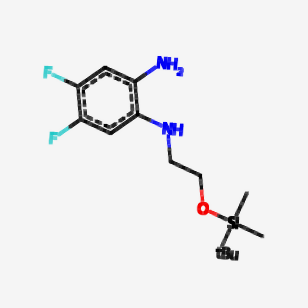 CC(C)(C)[Si](C)(C)OCCNc1cc(F)c(F)cc1N